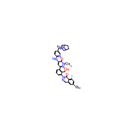 CN1C2CCC1CN(Cc1ccc(Nc3cc(-c4cccc(-n5ncc6cc(C(C)(C)C)cc(F)c6c5=O)c4CO)nn(C)c3=O)nc1)C2